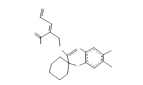 C=C/C=C(/CNC1=Nc2cc(Cl)c(Cl)cc2NC12CCCCC2)C(=C)F